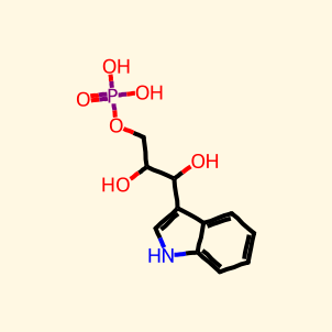 O=P(O)(O)OCC(O)C(O)c1c[nH]c2ccccc12